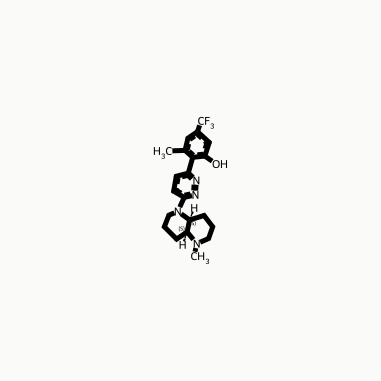 Cc1cc(C(F)(F)F)cc(O)c1-c1ccc(N2CCC[C@H]3[C@@H]2CCCN3C)nn1